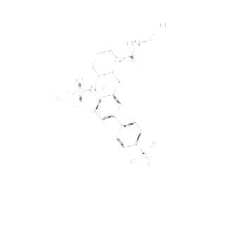 CCNC(=O)N1CCCC(NS(C)(=O)=O)C1Cc1cccc(-c2ccc(C(F)(F)F)cc2)c1